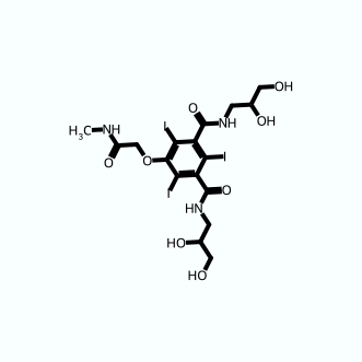 CNC(=O)COc1c(I)c(C(=O)NCC(O)CO)c(I)c(C(=O)NCC(O)CO)c1I